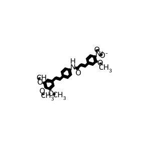 COc1cc(/C=C/C(=O)Nc2ccc(C=Cc3cc(OC)c(OC)c(OC)c3)cc2)ccc1[N+](=O)[O-]